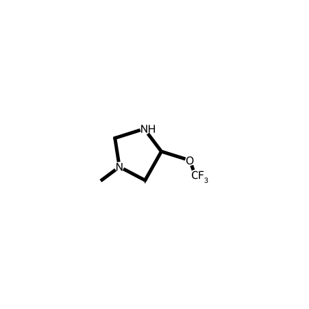 CN1[CH]C(OC(F)(F)F)NC1